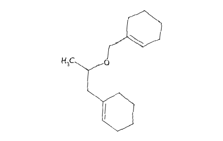 CC(CC1=CCCCC1)OCC1=CCCCC1